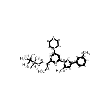 CO[C@H](CO[Si](C)(C)C(C)(C)C)c1nc(N2CCOCC2)cc(-n2nc(-c3cccc(C)c3)cc2C)n1